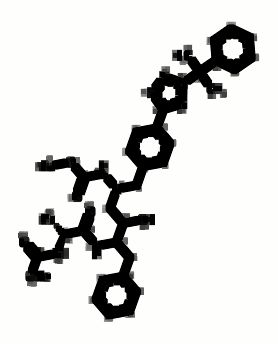 CCCCOC(=O)NN(Cc1ccc(-c2nnn(C(C)(C)c3ccccc3)n2)cc1)CC(O)C(Cc1ccccc1)NC(=O)[C@@H](NC(=O)OC)[C@@H](C)CC